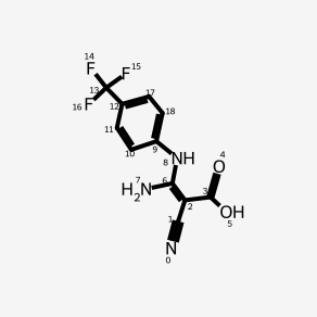 N#CC(C(=O)O)=C(N)Nc1ccc(C(F)(F)F)cc1